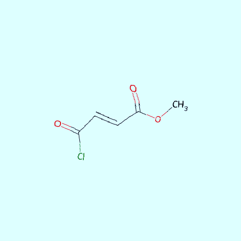 COC(=O)C=CC(=O)Cl